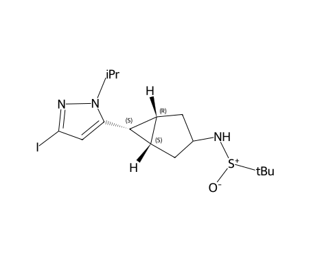 CC(C)n1nc(I)cc1[C@@H]1[C@@H]2CC(N[S+]([O-])C(C)(C)C)C[C@@H]21